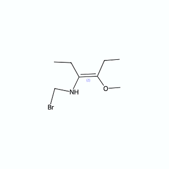 CC/C(NCBr)=C(\CC)OC